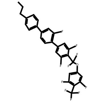 CCCc1ccc(-c2ccc(-c3cc(F)c(C(F)(F)Oc4cc(F)c(C(F)(F)F)c(F)c4)c(F)c3)c(F)c2)cc1